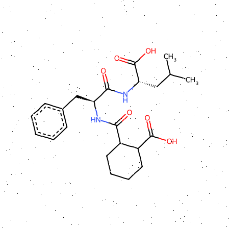 CC(C)C[C@H](NC(=O)[C@H](Cc1ccccc1)NC(=O)C1CCCCC1C(=O)O)C(=O)O